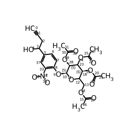 C#CCC(O)c1ccc(O[C@@H]2OC(COC(C)=O)[C@H](OC(C)=O)C(OC(C)=O)[C@@H]2OC(C)=O)c([N+](=O)[O-])c1